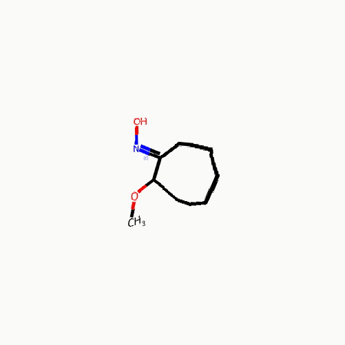 COC1CCCCC/C1=N\O